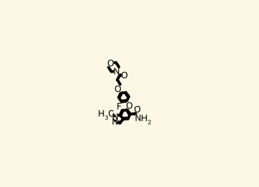 Cn1ncc2cc(C(N)=O)c(Oc3ccc(OCCC(=O)N4CCOCC4)cc3F)cc21